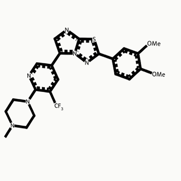 COc1ccc(-c2nn3c(-c4cnc(N5CCN(C)CC5)c(C(F)(F)F)c4)cnc3s2)cc1OC